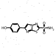 NS(=O)(=O)c1nn2cc(-c3ccc(O)cc3)nc2s1